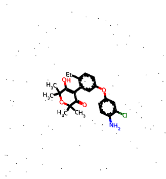 CCc1ccc(Oc2ccc(N)c(Cl)c2)cc1C1=C(O)C(C)(C)OC(C)(C)C1=O